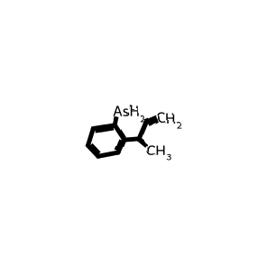 C=CC(C)c1ccccc1[AsH2]